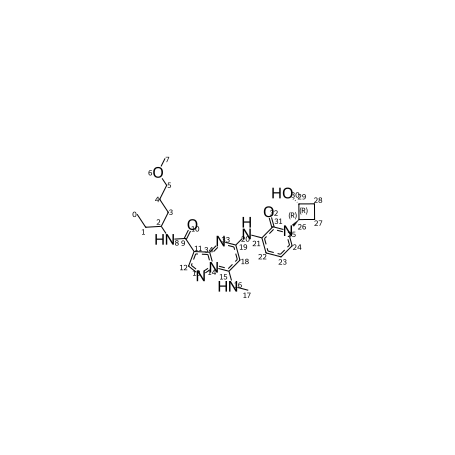 CCC(CCCOC)NC(=O)c1cnn2c(NC)cc(Nc3cccn([C@@H]4CC[C@H]4O)c3=O)nc12